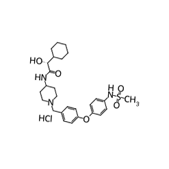 CS(=O)(=O)Nc1ccc(Oc2ccc(CN3CCC(NC(=O)[C@H](O)C4CCCCC4)CC3)cc2)cc1.Cl